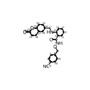 N#Cc1ccc(CONC(=O)c2ccccc2NCc2ccc3oc(=O)ccc3c2)cc1